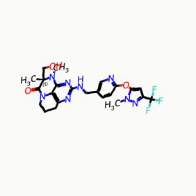 CN1c2nc(NCc3ccc(Oc4cc(C(F)(F)F)nn4C)nc3)nc3c2N(CCC3)C(=O)[C@]1(C)CO